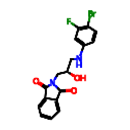 O=C1c2ccccc2C(=O)N1C[C@H](O)CNc1ccc(Br)c(F)c1